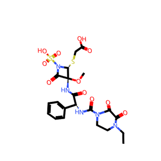 CCN1CCN(C(=O)N[C@@H](C(=O)N[C@@]2(OC)C(=O)N(S(=O)(=O)O)[C@@H]2SCC(=O)O)c2ccccc2)C(=O)C1=O